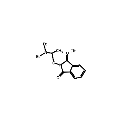 CCN(CC)C(C)ON1C(=O)c2ccccc2C1=O.Cl